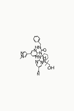 Cn1cc(-c2ccc(N(C(=O)NCc3ccccc3)C3(NC4N=CC(C#N)=CN4NC(C)(C)CO)CCCCC3)nc2)cn1